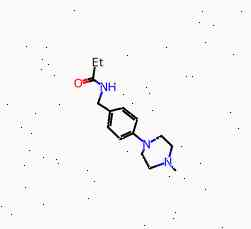 CCC(=O)NCc1ccc(N2CCN(C)CC2)cc1